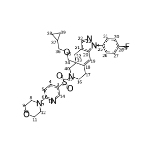 O=S(=O)(c1ccc(N2CCOCC2)nc1)N1CCC2=Cc3c(cnn3-c3ccc(F)cc3)CC2(COCC2CC2)C1